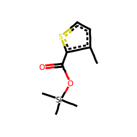 Cc1ccsc1C(=O)O[Si](C)(C)C